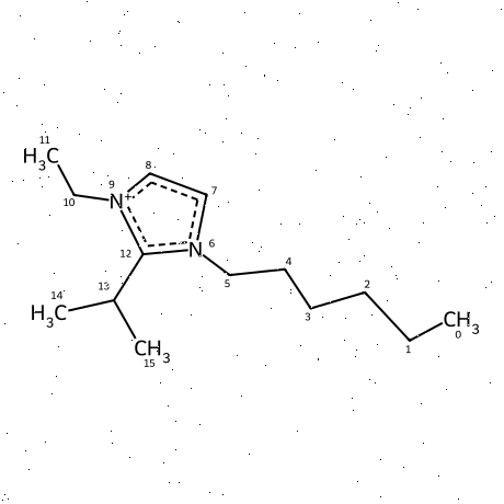 CCCCCCn1cc[n+](CC)c1C(C)C